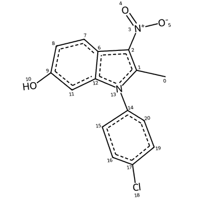 Cc1c([N+](=O)[O-])c2ccc(O)cc2n1-c1ccc(Cl)cc1